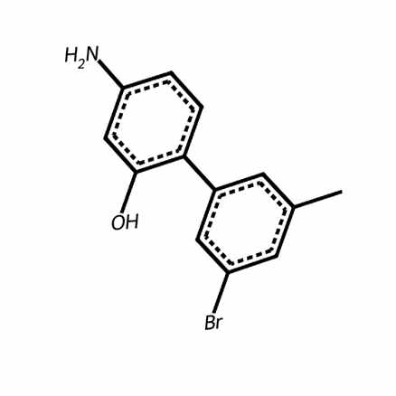 Cc1cc(Br)cc(-c2ccc(N)cc2O)c1